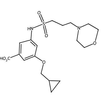 O=C(O)c1cc(NS(=O)(=O)CCCN2CCOCC2)cc(OCC2CC2)c1